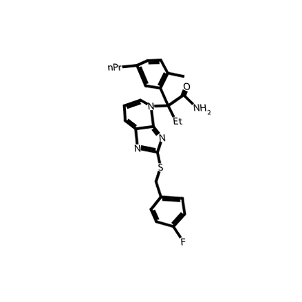 CCCc1ccc(C)c(C(CC)(C(N)=O)n2cccc3nc(SCc4ccc(F)cc4)nc2-3)c1